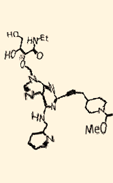 CCNC(=O)[C@@H](OCn1cnc2c(NCc3ccccn3)nc(C#CCC3CCN(C(=O)OC)CC3)nc21)C(O)CO